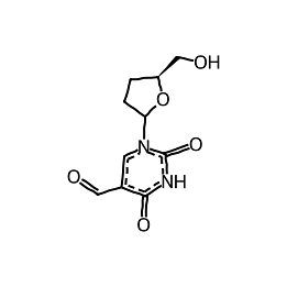 O=Cc1cn(C2CC[C@@H](CO)O2)c(=O)[nH]c1=O